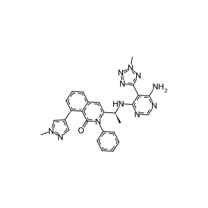 C[C@H](Nc1ncnc(N)c1-c1nnn(C)n1)c1cc2cccc(-c3cnn(C)c3)c2c(=O)n1-c1ccccc1